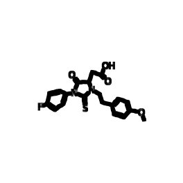 COc1ccc(CCN2C(=S)N(c3ccc(F)cc3)C(=O)C2CC(=O)O)cc1